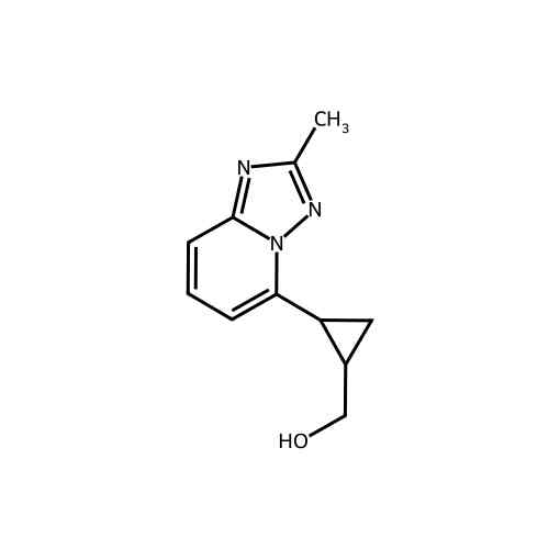 Cc1nc2cccc(C3CC3CO)n2n1